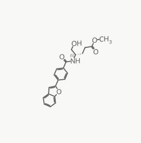 COC(=O)CC[C@@H](CO)NC(=O)c1ccc(-c2cc3ccccc3o2)cc1